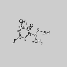 CC(CS)c1cc(F)cn(C)c1=O